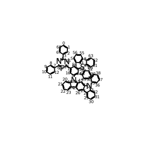 c1ccc(-c2nc(-c3ccccc3)pc(-c3cc(-n4c5ccccc5c5cc6c7ccccc7n(-c7ccccc7)c6cc54)cc(S(c4ccccc4)(c4ccccc4)c4ccccc4)c3)n2)cc1